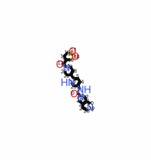 O=C(NC1=CC=C(C2=CCN(C(=O)C3CCS(=O)(=O)C3)CC2)NC1)N1Cc2ccncc2C1